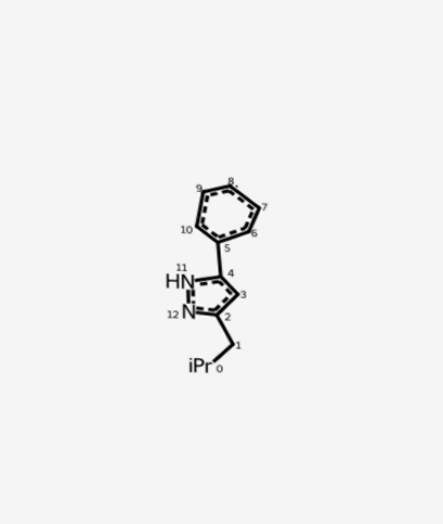 CC(C)Cc1cc(-c2cc[c]cc2)[nH]n1